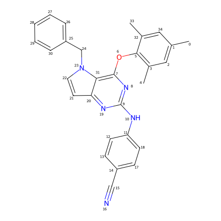 Cc1cc(C)c(Oc2nc(Nc3ccc(C#N)cc3)nc3ccn(Cc4ccccc4)c23)c(C)c1